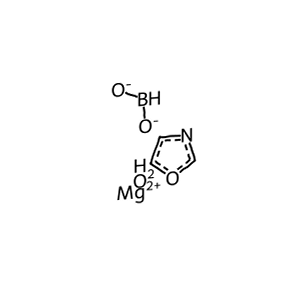 O.[Mg+2].[O-]B[O-].c1cocn1